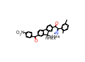 CCCCCCC1(CCCCCC)c2cc(C(=O)/C(=N\C)c3cc(C)ccc3C)ccc2-c2ccc(C(=O)c3ccc([N+](=O)[O-])cc3)cc21